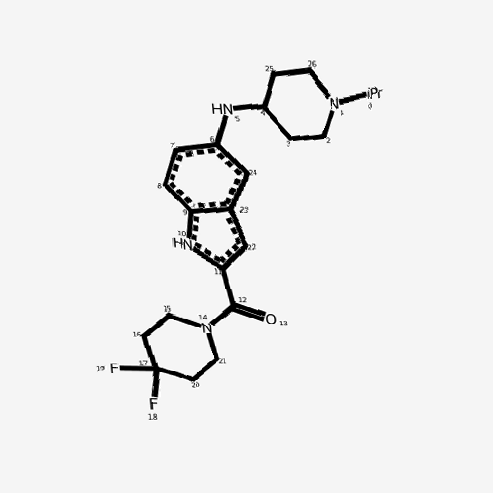 CC(C)N1CCC(Nc2ccc3[nH]c(C(=O)N4CCC(F)(F)CC4)cc3c2)CC1